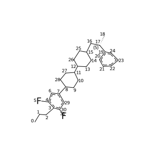 CCCc1c(F)cc(C2CCC(C3CCC(C[C@H](C)c4ccccc4)CC3)CC2)cc1F